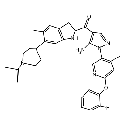 C=C(C)N1CCC(c2cc3c(cc2C)CC(C(=O)c2cnn(-c4cnc(Oc5ccccc5F)cc4C)c2N)N3)CC1